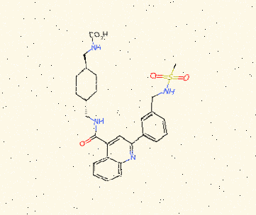 CS(=O)(=O)NCc1cccc(-c2cc(C(=O)NC[C@H]3CC[C@H](CNC(=O)O)CC3)c3ccccc3n2)c1